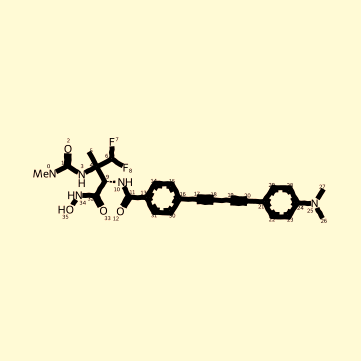 CNC(=O)NC(C)(C(F)F)[C@H](NC(=O)c1ccc(C#CC#Cc2ccc(N(C)C)cc2)cc1)C(=O)NO